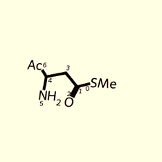 CSC(=O)CC(N)C(C)=O